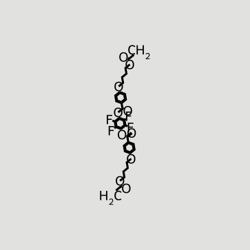 C=CC(=O)OCCCCOc1ccc(C(=O)Oc2c(F)c(F)c(OC(=O)c3ccc(OCCCCOC(=O)C=C)cc3)c(F)c2F)cc1